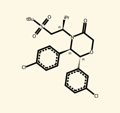 CC(C)[C@H](CS(=O)(=O)C(C)(C)C)N1C(=O)CO[C@H](c2cccc(Cl)c2)[C@H]1c1ccc(Cl)cc1